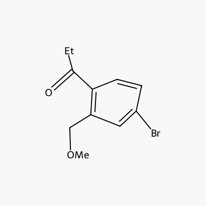 CCC(=O)c1ccc(Br)cc1COC